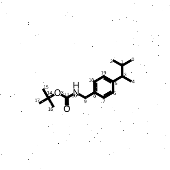 CC(C)C(C)c1ccc(CNC(=O)OC(C)(C)C)cc1